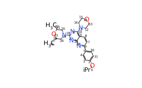 CC(C)Oc1ccc(-c2ccc3c(N4CCOCC4)nc(N4CC(C)OC(C)C4)nc3n2)cc1